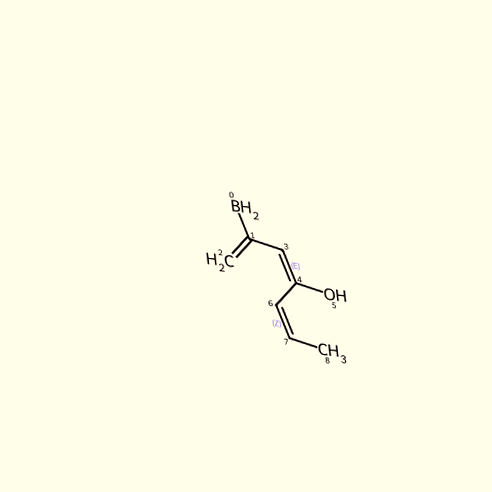 BC(=C)/C=C(O)\C=C/C